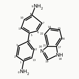 Nc1ccc(-c2ccc(N)cc2)cc1.c1ccc2[nH]cnc2c1